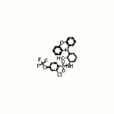 O=S(=O)(N[C@@H]1CCCC(N2c3ccccc3Oc3ccccc32)[C@H]1O)c1ccc(OC(F)(F)F)cc1Cl